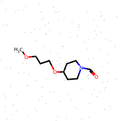 COCCCOC1CCN(C=O)CC1